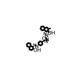 Cc1cc2ccccc2c(N=Nc2nnc(-c3ccc(N=Nc4c(O)ccc5ccccc45)cc3)o2)c1O